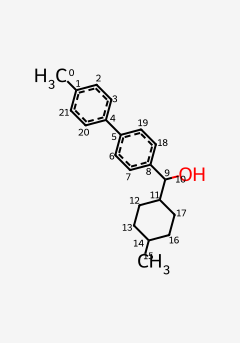 Cc1ccc(-c2ccc(C(O)C3CCC(C)CC3)cc2)cc1